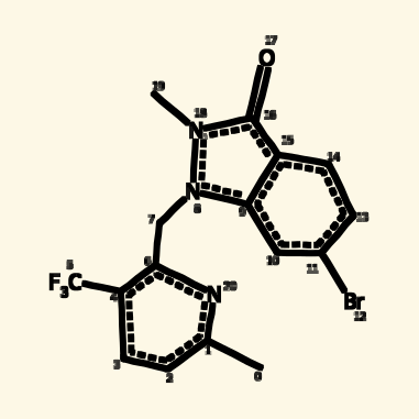 Cc1ccc(C(F)(F)F)c(Cn2c3cc(Br)ccc3c(=O)n2C)n1